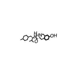 CC1CCC(C[C@@H](NC(=O)[C@H]2Cc3ccc(O)cc3CN2)C(C)C)CC1